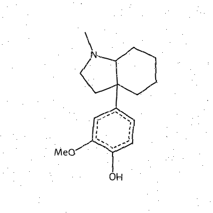 COc1cc(C23CCCCC2N(C)CC3)ccc1O